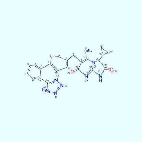 CCCCc1c(Cc2ccc(-c3ccccc3-c3nnn[nH]3)cc2)c(=O)nc2n1C(C1CC1)C(=O)N2